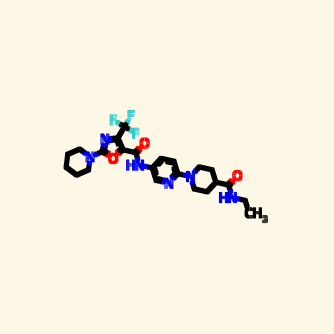 CCNC(=O)C1CCN(c2ccc(NC(=O)c3oc(N4CCCCC4)nc3C(F)(F)F)cn2)CC1